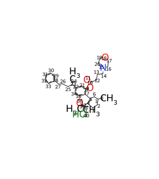 CC1CCC2=C(C1)c1c(OC(=O)CCCN3CCOCC3)cc(C(C)CCCc3ccccc3)cc1OC2(C)C.Cl